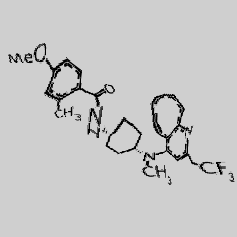 COc1ccc(C(=O)N[C@H]2CC[C@@H](N(C)c3cc(C(F)(F)F)nc4ccccc34)CC2)c(C)c1